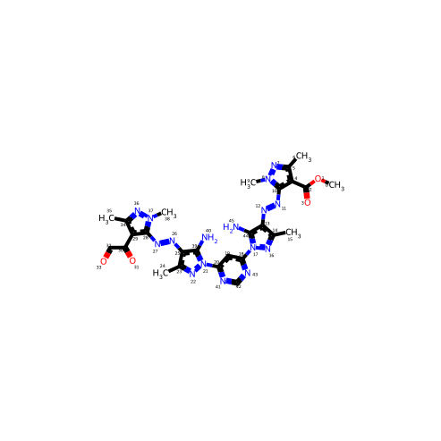 COC(=O)c1c(C)nn(C)c1/N=N/c1c(C)nn(-c2cc(-n3nc(C)c(/N=N/c4c(C(=O)C=O)c(C)nn4C)c3N)ncn2)c1N